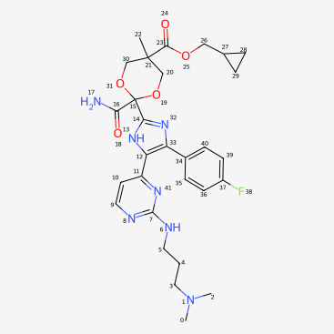 CN(C)CCCNc1nccc(-c2[nH]c(C3(C(N)=O)OCC(C)(C(=O)OCC4CC4)CO3)nc2-c2ccc(F)cc2)n1